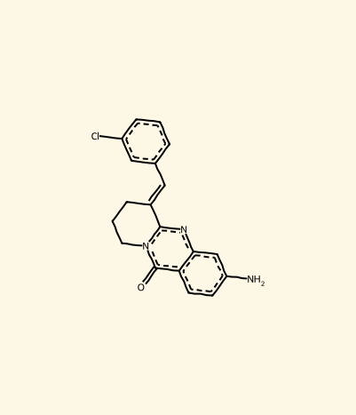 Nc1ccc2c(=O)n3c(nc2c1)C(=Cc1cccc(Cl)c1)CCC3